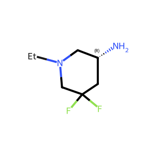 CCN1C[C@H](N)CC(F)(F)C1